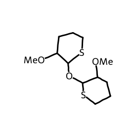 COC1CCCSC1OC1SCCCC1OC